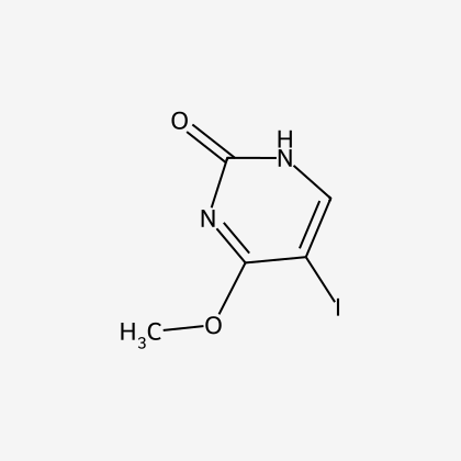 COc1nc(=O)[nH]cc1I